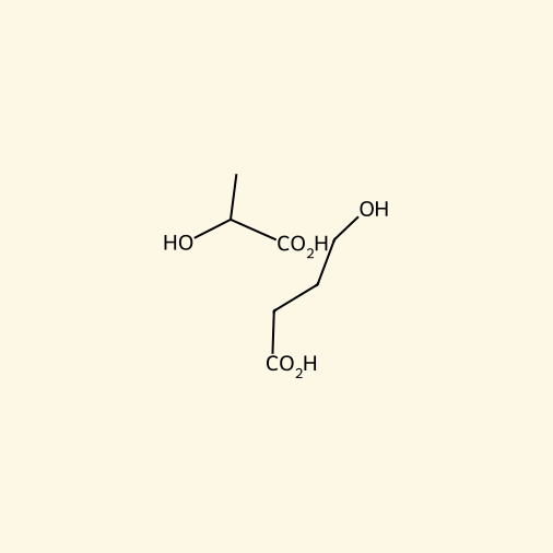 CC(O)C(=O)O.O=C(O)CCCO